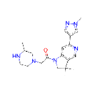 CC1CN(CC(=O)N2CC(C)(C)c3cnc(-c4cnn(C)c4)cc32)CCN1